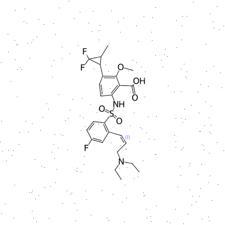 CCN(CC)C/C=C\c1cc(F)ccc1S(=O)(=O)Nc1ccc(C2C(C)C2(F)F)c(OC)c1C(=O)O